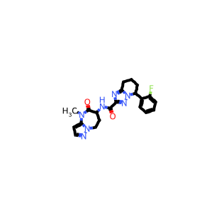 CN1C(=O)C(NC(=O)c2nc3n(n2)C(c2ccccc2F)CCC3)CCn2nccc21